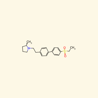 CCS(=O)(=O)c1ccc(-c2ccc(CCN3CCC[C@H]3C)cc2)cc1